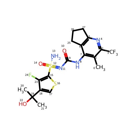 Cc1c(C(F)(F)F)nc2c(c1NC(=O)N=[S@](N)(=O)c1scc(C(C)(C)O)c1F)CCC2